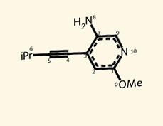 COc1cc(C#CC(C)C)c(N)cn1